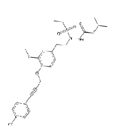 CCS(=O)(=O)N(CCc1ccc(OCC#Cc2ccc(Cl)cc2)c(OC)c1)NC(=O)CC(C)C